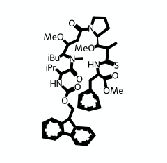 CCC(C)C(C(CC(=O)N1CCC[C@H]1C(OC)C(C)C(=S)NC(Cc1ccccc1)C(=O)OC)OC)N(C)C(=O)C(NC(=O)OCC1c2ccccc2-c2ccccc21)C(C)C